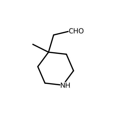 CC1(CC=O)CCNCC1